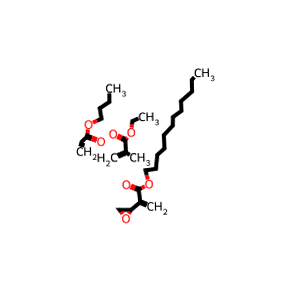 C=C(C(=O)OCCCCCCCCCCCC)C1CO1.C=C(C)C(=O)OCC.C=CC(=O)OCCCC